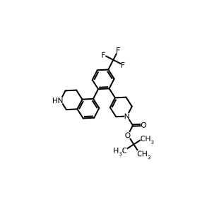 CC(C)(C)OC(=O)N1CC=C(c2cc(C(F)(F)F)ccc2-c2cccc3c2CCNC3)CC1